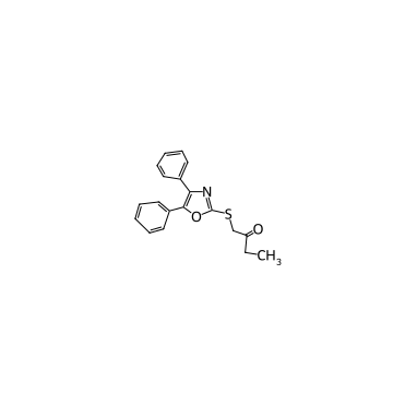 CCC(=O)CSc1nc(-c2ccccc2)c(-c2ccccc2)o1